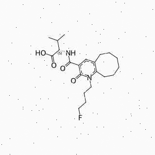 CC(C)[C@H](NC(=O)c1cc2c(n(CCCCF)c1=O)CCCCCC2)C(=O)O